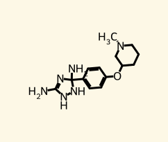 CN1CCCC(Oc2ccc(C3(N)N=C(N)NN3)cc2)C1